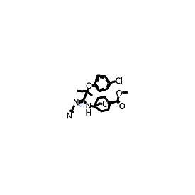 COC(=O)C12CCC(N/C(=N\C#N)C(C)(C)Oc3ccc(Cl)cc3)(CC1)CC2